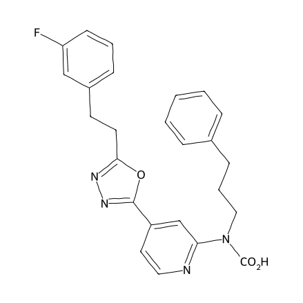 O=C(O)N(CCCc1ccccc1)c1cc(-c2nnc(CCc3cccc(F)c3)o2)ccn1